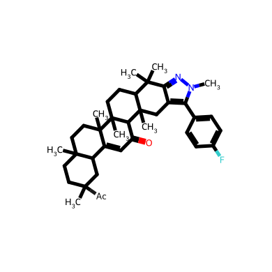 CC(=O)C1(C)CCC2(C)CCC3(C)C(=CC(=O)C4C5(C)Cc6c(nn(C)c6-c6ccc(F)cc6)C(C)(C)C5CCC43C)C2C1